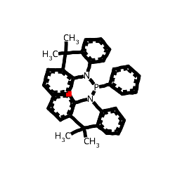 CC1(C)c2ccccc2N(P(c2ccccc2)N2c3ccccc3C(C)(C)c3ccccc32)c2ccccc21